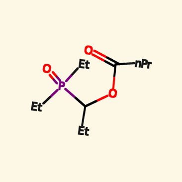 CCCC(=O)OC(CC)P(=O)(CC)CC